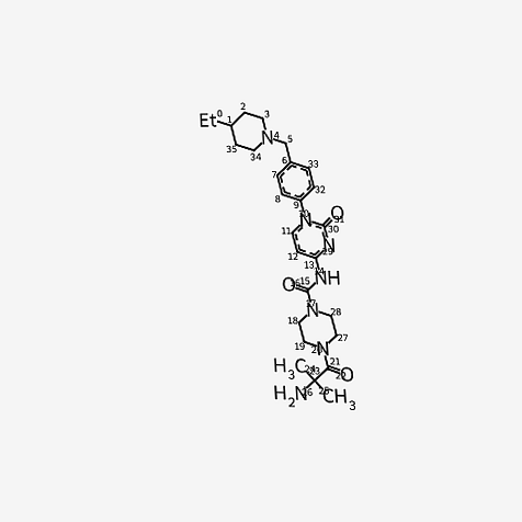 CCC1CCN(Cc2ccc(-n3ccc(NC(=O)N4CCN(C(=O)C(C)(C)N)CC4)nc3=O)cc2)CC1